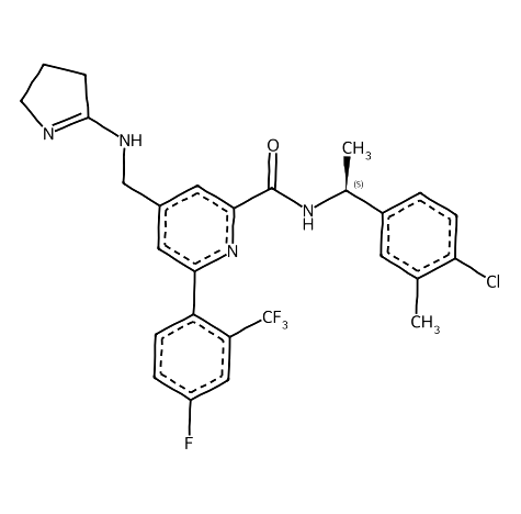 Cc1cc([C@H](C)NC(=O)c2cc(CNC3=NCCC3)cc(-c3ccc(F)cc3C(F)(F)F)n2)ccc1Cl